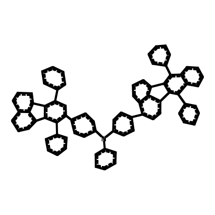 c1ccc(-c2cc(-c3ccc(N(c4ccccc4)c4ccc(-c5ccc6c7c(cccc57)-c5c-6c(-c6ccccc6)c6ccccc6c5-c5ccccc5)cc4)cc3)c(-c3ccccc3)c3c2-c2cccc4cccc-3c24)cc1